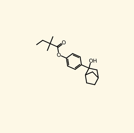 CCC(C)(C)C(=O)Oc1ccc(C2(O)CC3CCC2C3)cc1